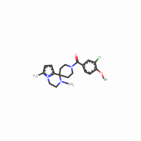 CC(C)Oc1ccc(C(=O)N2CCC3(CC2)c2ccc(C(F)(F)F)n2CCN3C)cc1Cl